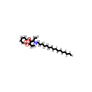 CCCCCCCCCCCCCCCCn1ccc(=O)c(OC2CCCCO2)c1CC